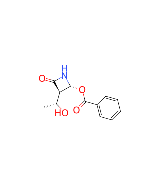 C[C@@H](O)[C@H]1C(=O)N[C@@H]1OC(=O)c1ccccc1